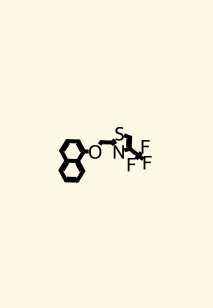 FC(F)(F)c1csc(COc2cccc3ccccc23)n1